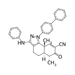 C[C@H]1C(=O)C(C#N)=C[C@@]2(C)c3c(c(Nc4ccccc4)nn3-c3ccc(-c4ccccc4)cc3)CC[C@H]12